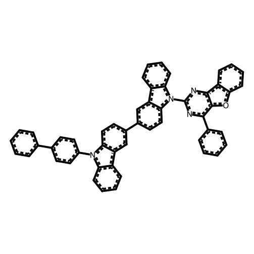 c1ccc(-c2ccc(-n3c4ccccc4c4cc(-c5ccc6c(c5)c5ccccc5n6-c5nc(-c6ccccc6)c6oc7ccccc7c6n5)ccc43)cc2)cc1